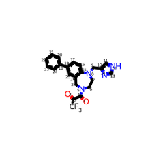 O=C(C(=O)C(F)(F)F)N1CCN(Cc2c[nH]cn2)c2ccc(-c3ccccc3)cc2C1